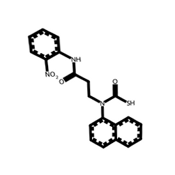 O=C(CCN(C(=O)S)c1cccc2ccccc12)Nc1ccccc1[N+](=O)[O-]